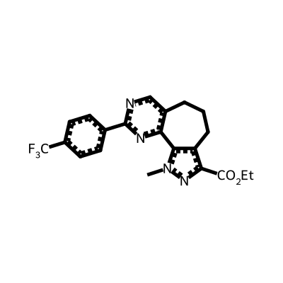 CCOC(=O)c1nn(C)c2c1CCCc1cnc(-c3ccc(C(F)(F)F)cc3)nc1-2